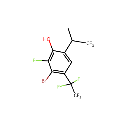 CC(c1cc(C(F)(F)C(F)(F)F)c(Br)c(F)c1O)C(F)(F)F